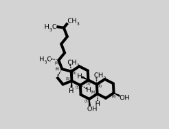 CC(C)CCC[C@@H](C)[C@H]1CC[C@H]2[C@@H]3C[C@H](O)[C@@H]4C[C@H](O)CC[C@]4(C)[C@H]3CC[C@]12C